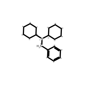 c1ccc([SiH2]N(C2CCCCC2)C2CCCCC2)cc1